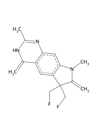 C=C1NC(C)=Nc2cc3c(cc21)C(CF)(CF)C(=C)N3C